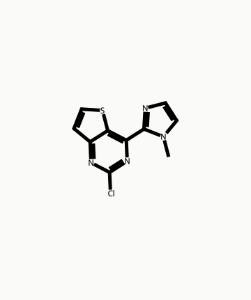 Cn1ccnc1-c1nc(Cl)nc2ccsc12